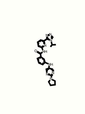 CC(C)n1cnnc1-c1cccc(NC(=O)c2cccc(Nc3cnc(N4CCCC4)nc3)c2)n1